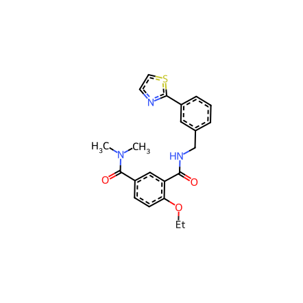 CCOc1ccc(C(=O)N(C)C)cc1C(=O)NCc1cccc(-c2nccs2)c1